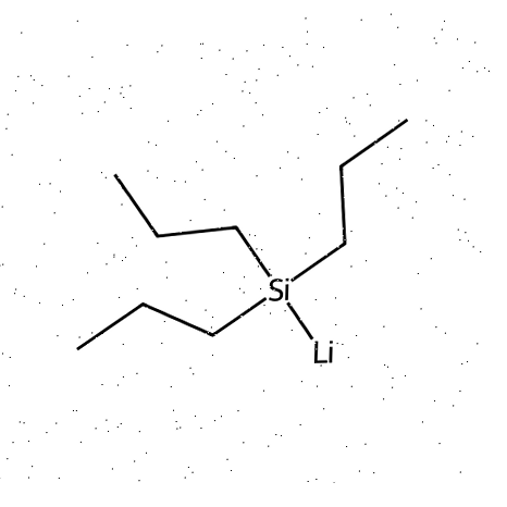 [Li][Si](CCC)(CCC)CCC